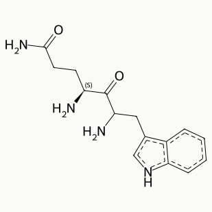 NC(=O)CC[C@H](N)C(=O)C(N)Cc1c[nH]c2ccccc12